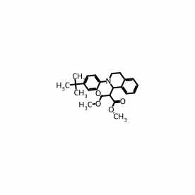 COC(=O)C(C(=O)OC)C1c2ccccc2CCN1c1ccc(C(C)(C)C)cc1